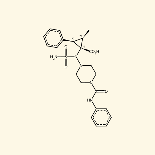 C[C@@H]1[C@H](c2ccccc2)[C@@]1(C(=O)O)N(N1CCN(C(=O)Nc2ccccc2)CC1)S(N)(=O)=O